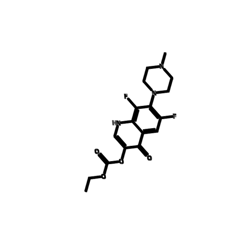 CCOC(=O)Oc1c[nH]c2c(F)c(N3CCN(C)CC3)c(F)cc2c1=O